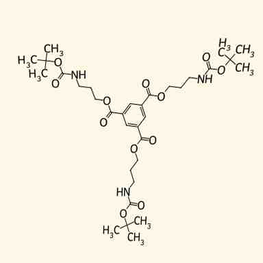 CC(C)(C)OC(=O)NCCCOC(=O)c1cc(C(=O)OCCCNC(=O)OC(C)(C)C)cc(C(=O)OCCCNC(=O)OC(C)(C)C)c1